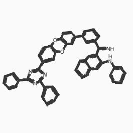 N=C(c1cccc(-c2ccc3c(c2)Oc2cc(-c4nc(-c5ccccc5)nc(-c5ccccc5)n4)ccc2O3)c1)c1cc2ccccc2cc1Nc1ccccc1